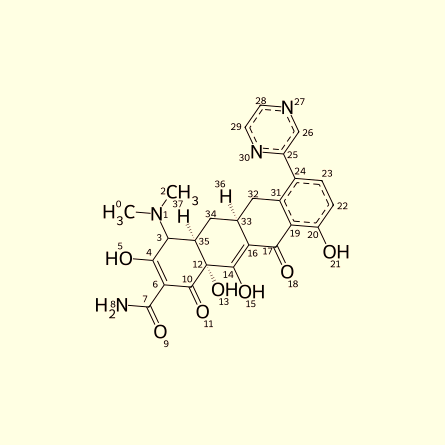 CN(C)C1C(O)=C(C(N)=O)C(=O)[C@]2(O)C(O)=C3C(=O)c4c(O)ccc(-c5cnccn5)c4C[C@@H]3C[C@H]12